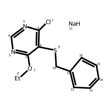 CCOc1ncnc(Cl)c1SCc1ccccc1.[NaH]